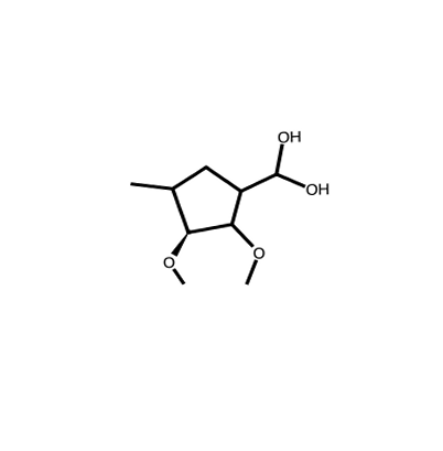 COC1C(C(O)O)CC(C)[C@@H]1OC